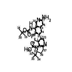 Cc1c(-c2cc3cc(N)ncc3c(NC(=O)OC(C)(C)C)c2F)cnc2c1N(C(=O)O)C(C(C)(C)C)CC2